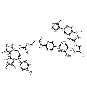 Cc1ncsc1-c1ccc([C@H](C)NC(=O)[C@@H]2C[C@@H](O)CN2C(=O)C(NC(=O)c2ccc(OC(C)CCNC(=O)C[C@@H]3N=C(c4ccc(Cl)cc4)c4c(sc(C)c4C)-n4c(C)nnc43)cc2)C(C)(C)C)cc1